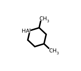 CC1C[CH2][AlH][CH](C)C1